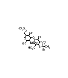 CCC(C)C1OC(COS(=O)(=O)O)C(O)C(OC2OC(C(=O)O)C(OC(C)(CC)CC)C(O)C2O)C1NC(C)=O